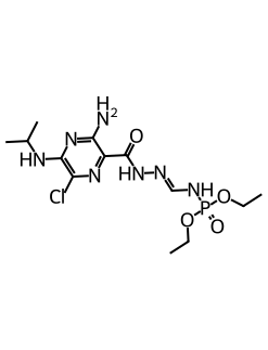 CCOP(=O)(NC=NNC(=O)c1nc(Cl)c(NC(C)C)nc1N)OCC